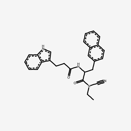 CCN(C#N)C(=O)C(Cc1ccc2ccccc2c1)NC(=O)CCc1c[nH]c2ccccc12